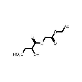 CC(=O)COC(=O)COC(=O)C(O)CC(=O)O